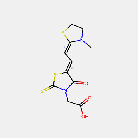 CN1CCS/C1=C/C=C1\SC(=S)N(CC(=O)O)C1=O